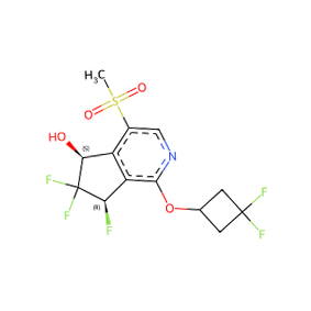 CS(=O)(=O)c1cnc(OC2CC(F)(F)C2)c2c1[C@H](O)C(F)(F)[C@@H]2F